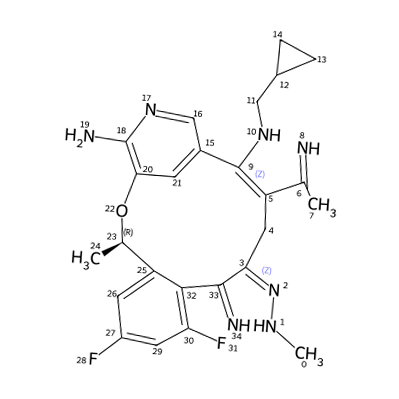 CN/N=C1/C/C(C(C)=N)=C(/NCC2CC2)c2cnc(N)c(c2)O[C@H](C)c2cc(F)cc(F)c2C1=N